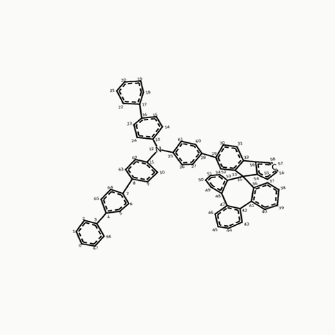 c1ccc(-c2ccc(-c3ccc(N(c4ccc(-c5ccccc5)cc4)c4ccc(-c5ccc6c(c5)C5(c7ccccc7-c7ccccc7-c7ccccc75)c5ccccc5-6)cc4)cc3)cc2)cc1